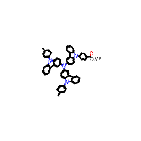 COC(=O)c1ccc(-n2c3ccccc3c3cc(N(c4ccc5c(c4)c4ccccc4n5-c4ccc(C)cc4)c4ccc5c(c4)c4ccccc4n5-c4ccc(C)cc4)ccc32)cc1